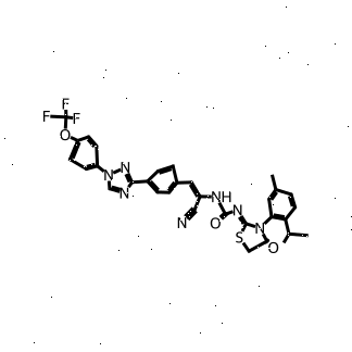 Cc1ccc(C(C)C)c(N2C(=O)CS/C2=N\C(=O)N/C(C#N)=C/c2ccc(-c3ncn(-c4ccc(OC(F)(F)F)cc4)n3)cc2)c1